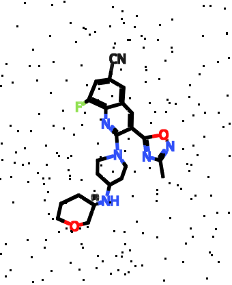 Cc1noc(-c2cc3cc(C#N)cc(F)c3nc2N2CCC(N[C@@H]3CCCOC3)CC2)n1